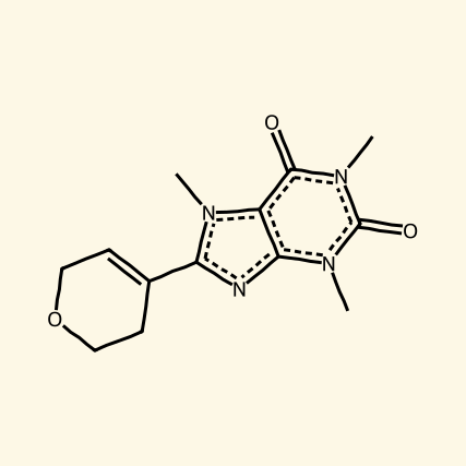 Cn1c(=O)c2c(nc(C3=CCOCC3)n2C)n(C)c1=O